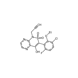 C#CCN1c2nccnc2C(O)=C(c2c(F)ccc(Cl)c2OCC)S1(=O)=O